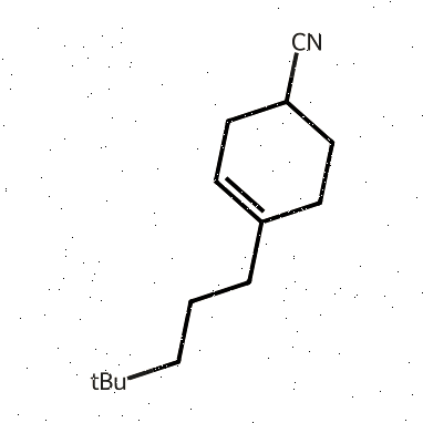 CC(C)(C)CCCC1=CCC(C#N)CC1